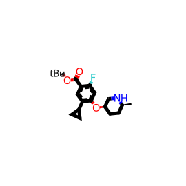 C[C@H]1CC[C@@H](Oc2cc(F)c(C(=O)OC(C)(C)C)cc2C2CC2)CN1